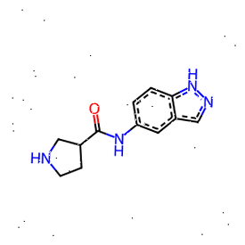 O=C(Nc1ccc2[nH]ncc2c1)C1CCNC1